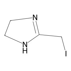 ICC1=NCCN1